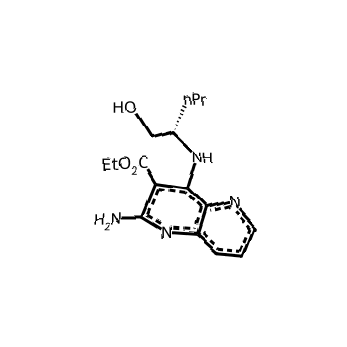 CCC[C@@H](CO)Nc1c(C(=O)OCC)c(N)nc2cccnc12